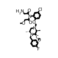 COCC(=O)N(C(=O)CN)c1cc(Cl)ccc1OCN1C[C@@H](C)N(Cc2ccc(F)cc2)C(=C=O)[C@@H]1C